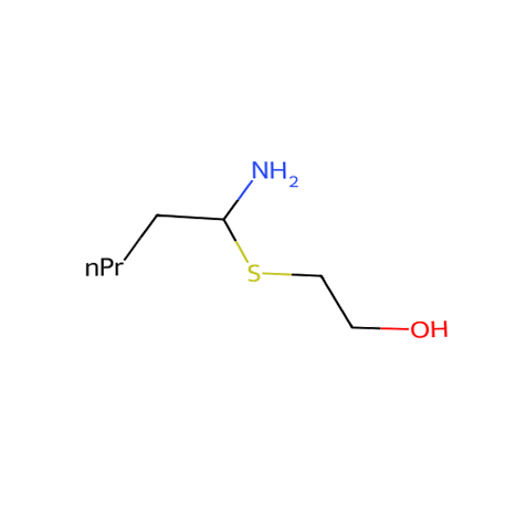 CCCCC(N)SCCO